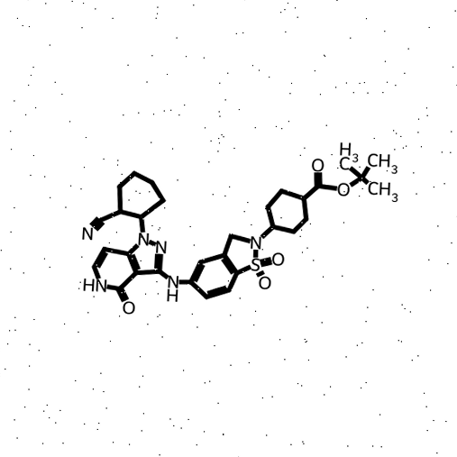 CC(C)(C)OC(=O)C1CCC(N2Cc3cc(Nc4nn(C5CCCCC5C#N)c5cc[nH]c(=O)c45)ccc3S2(=O)=O)CC1